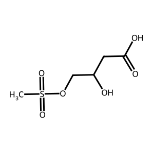 CS(=O)(=O)OCC(O)CC(=O)O